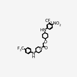 O=C(COC1CCC(Nc2ccc([N+](=O)[O-])c(C(F)(F)F)c2)CC1)N1CCC(Nc2ccc(C(F)(F)F)cc2)CC1